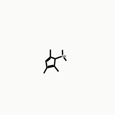 CC1=CC(C)=C(C)C1[SiH](C)C